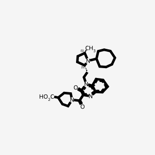 C[C@H]1CC[C@@H](CCn2c(=O)c(C(=O)N3CCC(C(=O)O)CC3)nc3ccccc32)N1C1CCCCCCC1